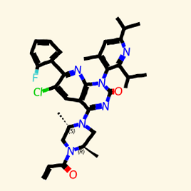 C=CC(=O)N1C[C@H](C)N(c2nc(=O)n(-c3c(C)cc(C(C)C)nc3C(C)C)c3nc(-c4ccccc4F)c(Cl)cc23)C[C@H]1C